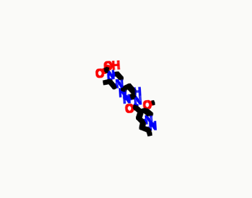 COc1cn2nc(C)cc2cc1C(=O)Nc1ccc(N2CCN(C(=O)O)C(C)C2)nn1